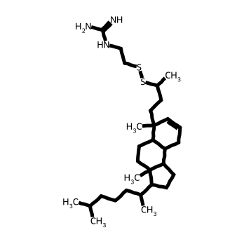 CC(C)CCCC(C)C1CCC2C3CC=CC(C)(CCC(C)SSCCNC(=N)N)C3CCC12C